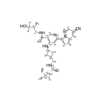 CC(C)(O)C(F)CNC(=O)c1cnc(-c2ccc3cc(C#N)cnn23)cc1NC1CC(CNC(=O)[C@@H]2CC2(F)F)C1